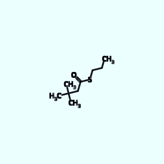 CCCSC(=O)CC(C)(C)C